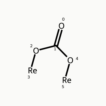 O=C([O][Re])[O][Re]